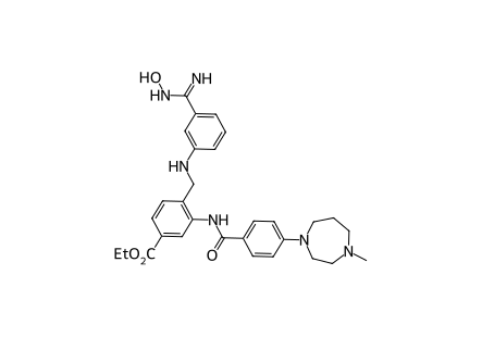 CCOC(=O)c1ccc(CNc2cccc(C(=N)NO)c2)c(NC(=O)c2ccc(N3CCCN(C)CC3)cc2)c1